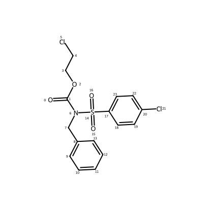 O=C(OCCCl)N(Cc1ccccc1)S(=O)(=O)c1ccc(Cl)cc1